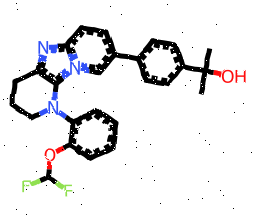 CC(C)(O)c1ccc(-c2ccc3nc4c(n3c2)N(c2ccccc2OC(F)F)CCC4)cc1